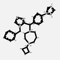 c1ccc(Cn2cnnc2C(c2ccc(-n3cncn3)cc2)N2CCCN(C3CCC3)CC2)cc1